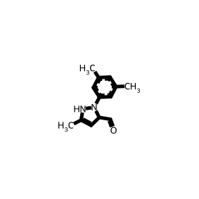 CC1=CC(C=O)N(c2cc(C)cc(C)c2)N1